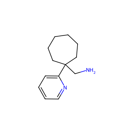 NCC1(c2ccccn2)CCCCCC1